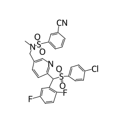 CN(Cc1ccc(C(c2cc(F)ccc2F)S(=O)(=O)c2ccc(Cl)cc2)nc1)S(=O)(=O)c1cccc(C#N)c1